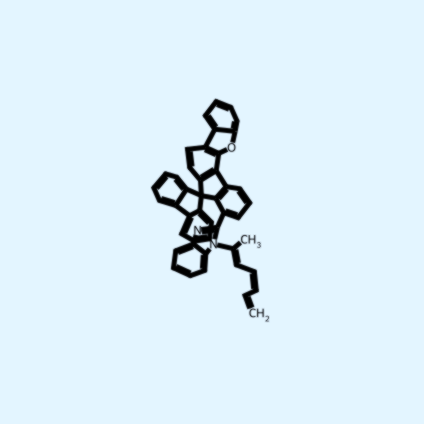 C=C/C=C\C=C(/C)n1c(-c2cccc3c2C2(c4ccccc4-c4ccccc42)c2ccc4c(oc5ccccc54)c2-3)nc2ccccc21